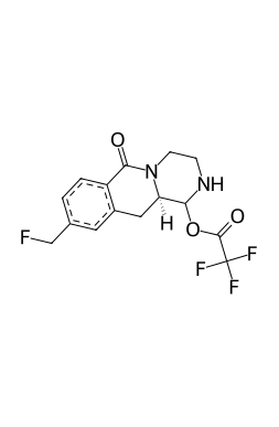 O=C1c2ccc(CF)cc2C[C@@H]2C(OC(=O)C(F)(F)F)NCCN12